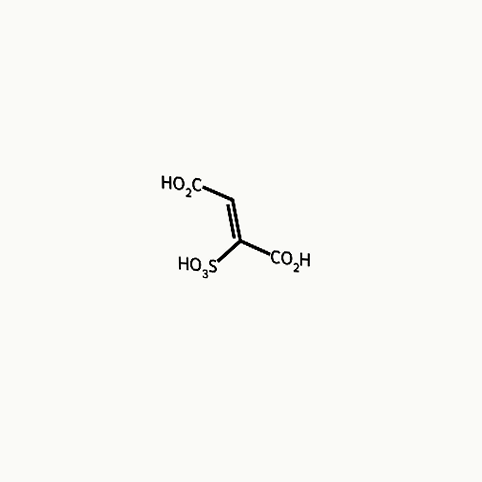 O=C(O)C=C(C(=O)O)S(=O)(=O)O